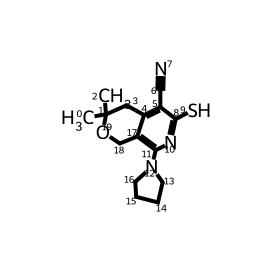 CC1(C)Cc2c(C#N)c(S)nc(N3CCCC3)c2CO1